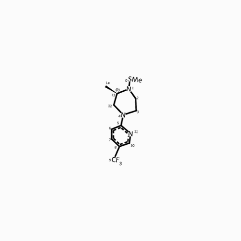 CSN1CCN(c2ccc(C(F)(F)F)cn2)C[C@H]1C